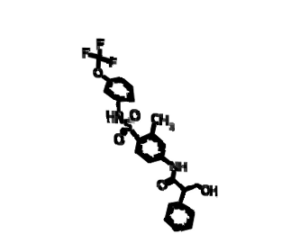 Cc1cc(NC(=O)C(CO)c2ccccc2)ccc1S(=O)(=O)Nc1cccc(OC(F)(F)F)c1